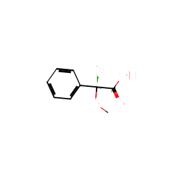 CO[C@@](Br)(C(=O)O)c1ccccc1